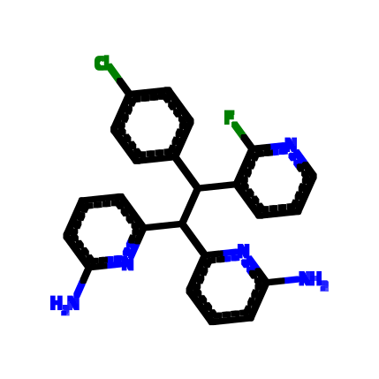 Nc1cccc(C(c2cccc(N)n2)C(c2ccc(Cl)cc2)c2cccnc2F)n1